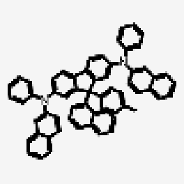 Cc1ccc(C2(c3cccc4ccccc34)c3cc(N(c4ccccc4)c4ccc5ccccc5c4)ccc3-c3ccc(N(c4ccccc4)c4ccc5ccccc5c4)cc32)cc1